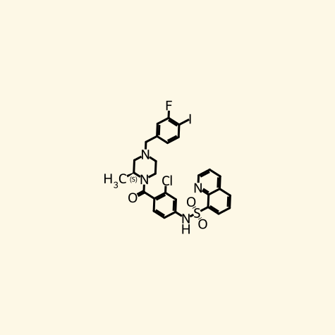 C[C@H]1CN(Cc2ccc(I)c(F)c2)CCN1C(=O)c1ccc(NS(=O)(=O)c2cccc3cccnc23)cc1Cl